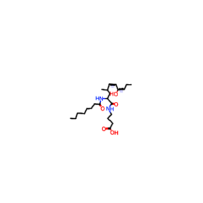 CC/C=C(O)\C=C/C(C)CC(NC(=O)CCCCCCC)C(=O)NCCCC(=O)O